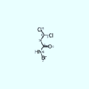 O=C(CC(Cl)Cl)NBr